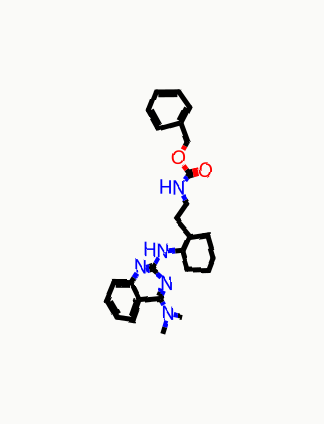 CN(C)c1nc(NC2CCCCC2CCNC(=O)OCc2ccccc2)nc2ccccc12